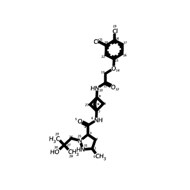 CC1CC(C(=O)NC23CC(NC(=O)COc4ccc(Cl)c(Cl)c4)(C2)C3)N(CC(C)(C)O)N1